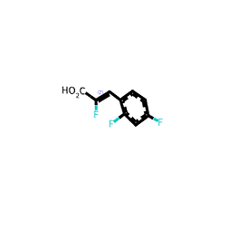 O=C(O)/C(F)=C/c1ccc(F)cc1F